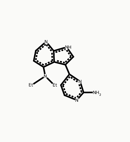 CCN(CC)c1ccnc2[nH]cc(-c3ccnc(N)n3)c12